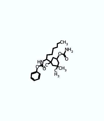 CCCCCCC(NC(=O)Oc1ccccc1)C1(C)CC(OC(N)=O)CC(C)(C)C1